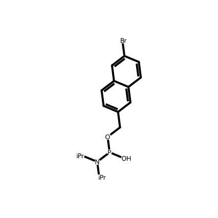 CC(C)N(C(C)C)P(O)OCc1ccc2cc(Br)ccc2c1